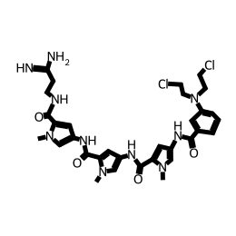 Cn1cc(NC(=O)c2cc(NC(=O)c3cc(NC(=O)c4cccc(N(CCCl)CCCl)c4)cn3C)cn2C)cc1C(=O)NCCC(=N)N